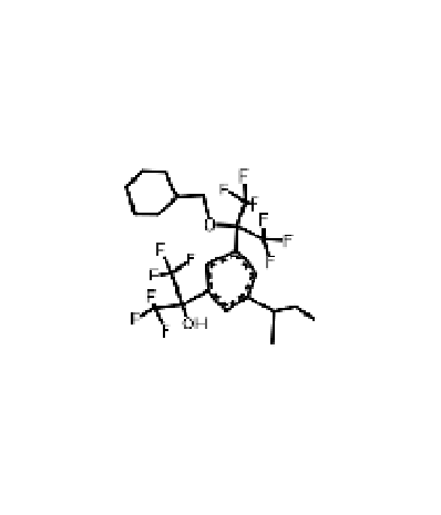 CCC(C)c1cc(C(O)(C(F)(F)F)C(F)(F)F)cc(C(OCC2CCCCC2)(C(F)(F)F)C(F)(F)F)c1